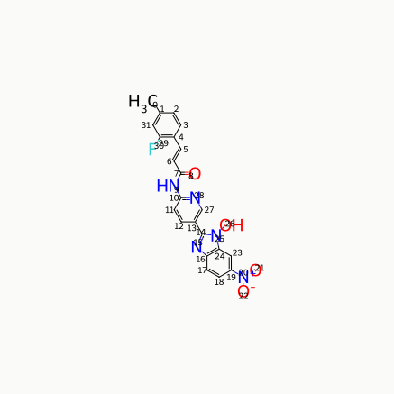 Cc1ccc(/C=C/C(=O)Nc2ccc(-c3nc4ccc([N+](=O)[O-])cc4n3O)cn2)c(F)c1